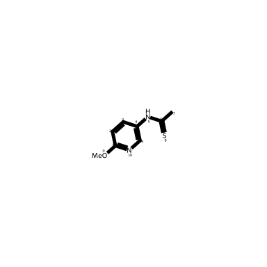 COc1ccc(NC(C)=S)cn1